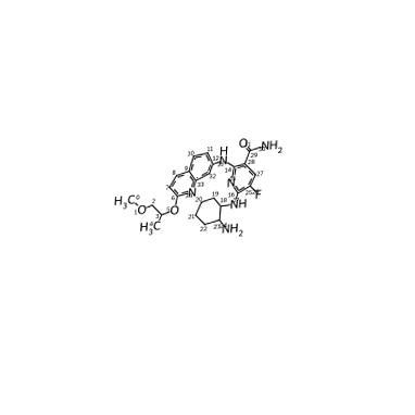 COCC(C)Oc1ccc2ccc(Nc3nc(NC4CCCCC4N)c(F)cc3C(N)=O)cc2n1